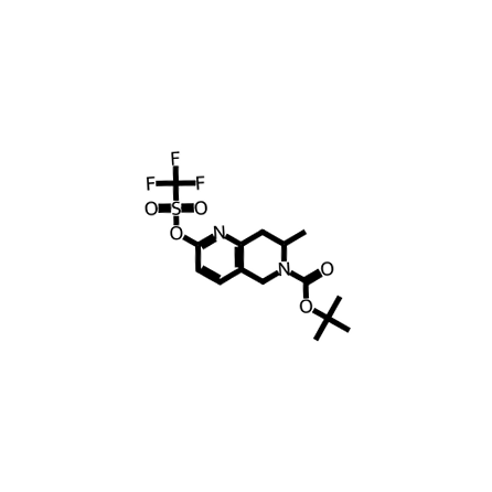 CC1Cc2nc(OS(=O)(=O)C(F)(F)F)ccc2CN1C(=O)OC(C)(C)C